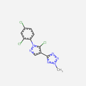 Cn1nnc(-c2cnn(-c3ccc(Cl)cc3Cl)c2Cl)n1